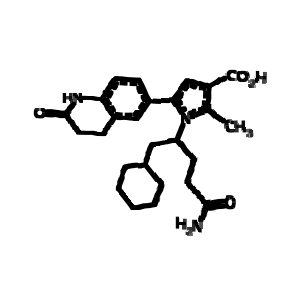 Cc1c(C(=O)O)cc(-c2ccc3c(c2)CCC(=O)N3)n1C(CCC(N)=O)CC1CCCCC1